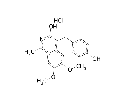 COc1cc2c(C)nc(O)c(Cc3ccc(O)cc3)c2cc1OC.Cl